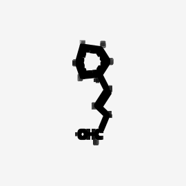 O=[C]CC=Cc1ccccc1